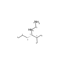 CCC[C@H](NCN)C(C)C